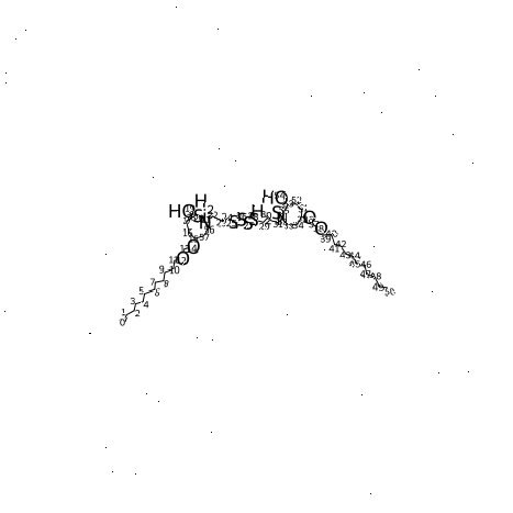 CCCCCCCCCCCCOCOC1CCC(O)[SiH2]N(CCCSSSSCCCN2CCC(OCOCCCCCCCCCCCC)CCC(O)[SiH2]2)CC1